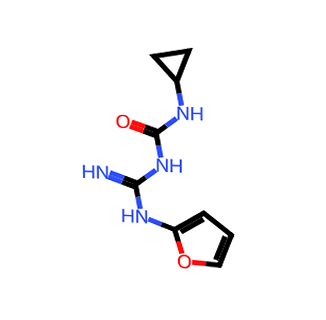 N=C(NC(=O)NC1CC1)Nc1ccco1